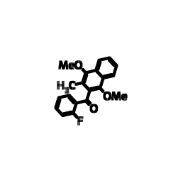 COc1c(C)c(C(=O)c2ccccc2F)c(OC)c2ccccc12